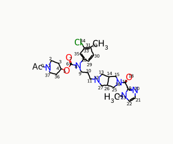 CC(=O)N1CCC(OC(=O)N(CCCN2CC3CN(C(=O)c4nccn4C)CC3C2)c2ccc(C)c(Cl)c2)CC1